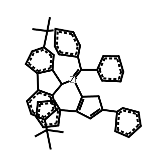 CC(C)(C)c1ccc2c(c1)[CH]([Zr]([C]1=C(c3ccccc3)C=C(c3ccccc3)C1)=[C](c1ccccc1)c1ccccc1)c1cc(C(C)(C)C)ccc1-2